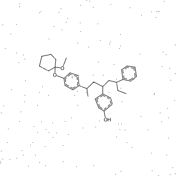 CCC(CC(CC(C)c1ccc(OC2(OC)CCCCC2)cc1)c1ccc(O)cc1)c1ccccc1